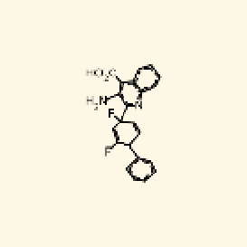 Nc1c(C2(F)C=CC(c3ccccc3)C(F)=C2)nc2ccccc2c1C(=O)O